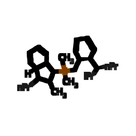 CCCC1C(C)C(S(C)(C)CC2C=CC=C[C@H]2[C@@H](CCC)C(C)C)C2C=CC=C[C@H]21